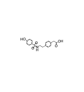 O=C(O)Cc1ccc(CCNS(=O)(=O)c2ccc(O)cc2)cc1